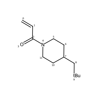 C=CC(=O)N1CCC(CC(C)(C)C)CC1